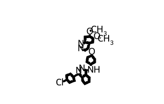 COc1cc2nncc(Oc3ccc(Nc4nnc(-c5ccc(Cl)cc5)c5ccccc45)cc3)c2cc1OC